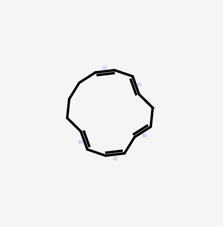 [CH]1/C=C/C=C\C=C\CCC/C=C\C=C\1